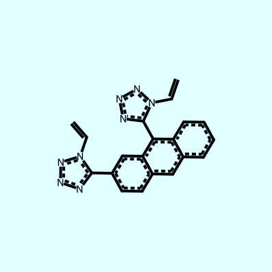 C=Cn1nnnc1-c1ccc2cc3ccccc3c(-c3nnnn3C=C)c2c1